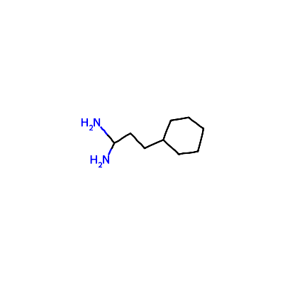 NC(N)CCC1CCCCC1